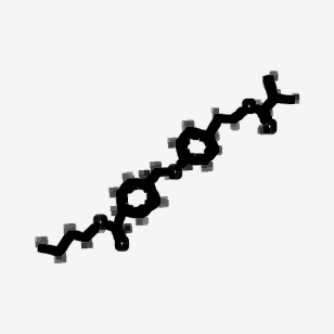 C=C(C)C(=O)OCCc1ccc(OCc2ccc(C(=O)OCCCC)cc2)cc1